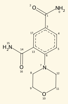 NC(=O)c1ccc(N2CCOCC2)c(C(N)=O)c1